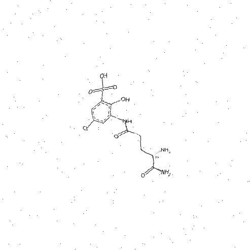 NC(=O)[C@@H](N)CCC(=O)Nc1cc(Cl)cc(S(=O)(=O)O)c1O